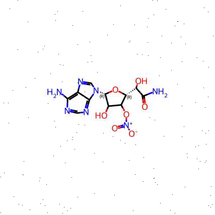 NC(=O)C(O)[C@H]1O[C@@H](n2cnc3c(N)ncnc32)C(O)C1O[N+](=O)[O-]